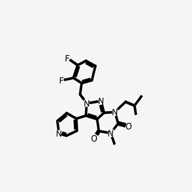 CC(C)Cn1c(=O)n(C)c(=O)c2c(-c3ccncc3)n(Cc3cccc(F)c3F)nc21